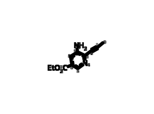 CC#Cc1ncc(C(=O)OCC)cc1N